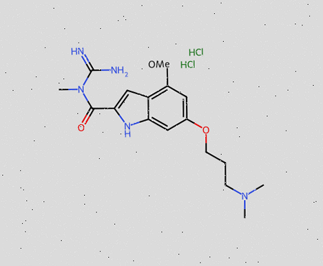 COc1cc(OCCCN(C)C)cc2[nH]c(C(=O)N(C)C(=N)N)cc12.Cl.Cl